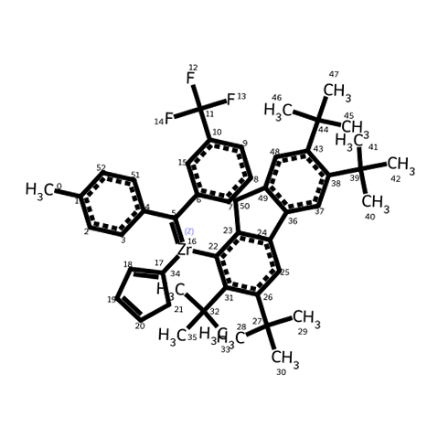 Cc1ccc(/[C](c2cccc(C(F)(F)F)c2)=[Zr](\[C]2=CC=CC2)[c]2c3c(cc(C(C)(C)C)c2C(C)(C)C)-c2cc(C(C)(C)C)c(C(C)(C)C)cc2C3)cc1